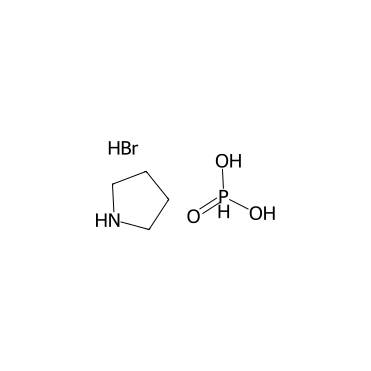 Br.C1CCNC1.O=[PH](O)O